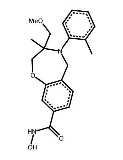 COCC1(C)COc2cc(C(=O)NO)ccc2CN1c1ccccc1C